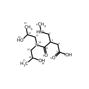 CNCC(CC(=O)O)C(=O)N(CC(C)O)CC(C)O